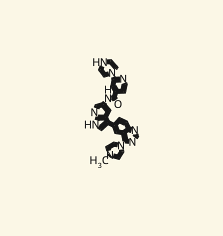 CN1CCN(c2ncnc3ccc(-c4c[nH]c5ncc(NC(=O)c6ccnc(N7CCNCC7)c6)cc45)cc23)CC1